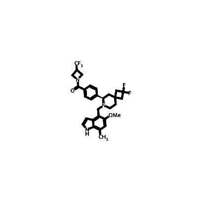 COc1cc(C)c2[nH]ccc2c1CN1CCC2(C[C@@H]1c1ccc(C(=O)N3CC(C(F)(F)F)C3)cc1)CC(F)(F)C2